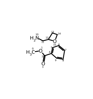 COC(=O)c1ccccc1.NCC1CCO1